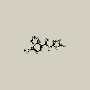 Cc1nnc(NC(=O)c2ccc(C(F)(F)F)n3cnnc23)o1